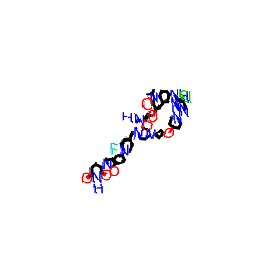 CNC(=O)COc1cc2cc(Nc3nc(N4CCC(OC5CC(N6CCN(CC7CCN(c8ccc9c(c8F)CN([C@@H]8CCC(=O)NC8=O)C9=O)CC7)CC6)C5)CC4)ncc3Cl)ccc2n(C(C)C)c1=O